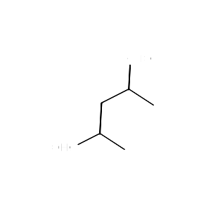 CC(C=O)CC(C)C=O